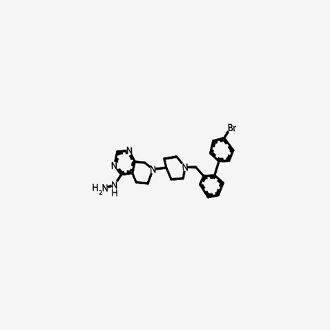 NNc1ncnc2c1CCN(C1CCN(Cc3ccccc3-c3ccc(Br)cc3)CC1)C2